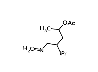 C=NCC(CC(C)OC(C)=O)C(C)C